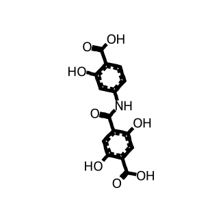 O=C(O)c1ccc(NC(=O)c2cc(O)c(C(=O)O)cc2O)cc1O